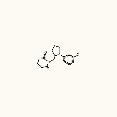 O=C1CCCC(=O)N1CC1CCCN1c1cccc(Cl)c1